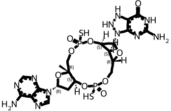 C[C@@]12COP(=O)(S)O[C@@H]3[C@@H](F)[C@@H](COP(=O)(S)O[C@H]1C[C@H](n1cnc4c(N)ncnc41)O2)O[C@H]3N1NNc2c1nc(N)[nH]c2=O